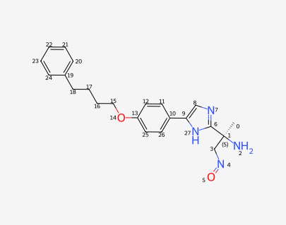 C[C@](N)(CN=O)c1ncc(-c2ccc(OCCCCc3ccccc3)cc2)[nH]1